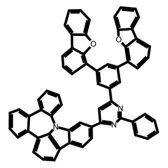 c1ccc(-c2nc(-c3cc(-c4cccc5c4oc4ccccc45)cc(-c4cccc5c4oc4ccccc45)c3)cc(-c3ccc4c5cccc6c5n(c4c3)-c3ccccc3-c3ccccc3-6)n2)cc1